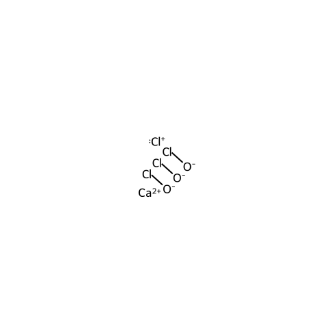 [Ca+2].[Cl+].[O-]Cl.[O-]Cl.[O-]Cl